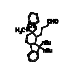 CCCCC1(CCCC)C2=C(C=CC(Cc3ccccc3)(N(C)C)C2CCCC=O)c2ccccc21